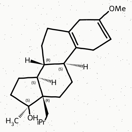 COC1=CCC2=C(CC[C@@H]3[C@@H]2CC[C@@]2(CC(C)C)[C@H]3CC[C@]2(C)O)C1